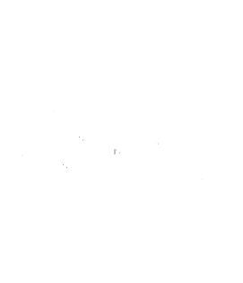 CCOC(=O)C(=O)c1ccc(NC(=O)C(CC2CCCC2)n2cnc(C(F)(F)F)c2)nc1